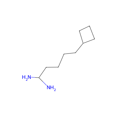 NC(N)CCCCC1CCC1